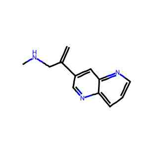 C=C(CNC)c1cnc2cccnc2c1